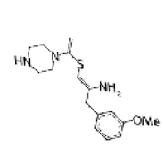 C=C(S/C=C(\N)Cc1cccc(OC)c1)N1CCNCC1